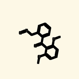 COc1cccc(OC)c1C(=O)c1ccccc1CP=O